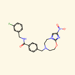 O=C(NCc1cccc(F)c1)c1ccc(CN2CCOc3nc([N+](=O)[O-])cn3CC2)cc1